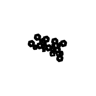 CN1c2cc3c(cc2B2c4ccccc4N(c4ccccc4)c4cc(Oc5ccccc5)cc1c42)B1c2ccccc2N(c2ccccc2)c2cc(Oc4ccccc4)cc(c21)S3